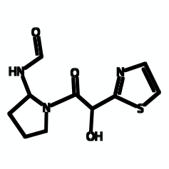 O=CNC1CCCN1C(=O)C(O)c1nccs1